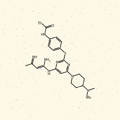 CCC(=O)Nc1ccc(Sc2nc(N/C(N)=C/C(C)=N)cc(N3CCC(N(C)C(C)(C)C)CC3)n2)cc1